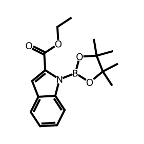 CCOC(=O)c1cc2ccccc2n1B1OC(C)(C)C(C)(C)O1